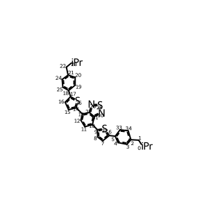 CC(C)Cc1ccc(-c2ccc(-c3ccc(-c4ccc(-c5ccc(CC(C)C)cc5)s4)c4nsnc34)s2)cc1